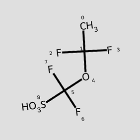 CC(F)(F)OC(F)(F)S(=O)(=O)O